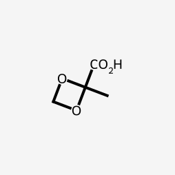 CC1(C(=O)O)OCO1